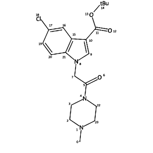 CN1CCN(C(=O)Cn2cc(C(=O)OC(C)(C)C)c3cc(Cl)ccc32)CC1